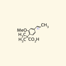 C/C=C/c1ccc(C(C)(C)C(=O)O)c(OC)c1